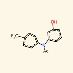 CC(=O)N(c1ccc(C(F)(F)F)cc1)c1cccc(O)c1